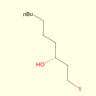 CCCCCCC[C@@H](O)CCI